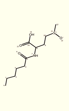 CCCCCC(=O)NC(CC[S+](C)[O-])C(=O)O